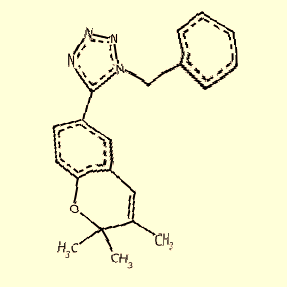 CC1=Cc2cc(-c3nnnn3Cc3ccccc3)ccc2OC1(C)C